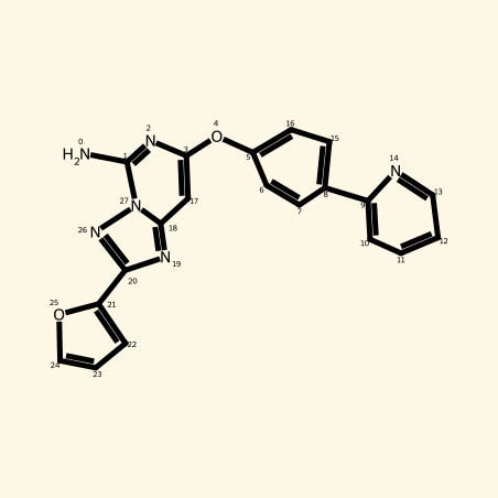 Nc1nc(Oc2ccc(-c3ccccn3)cc2)cc2nc(-c3ccco3)nn12